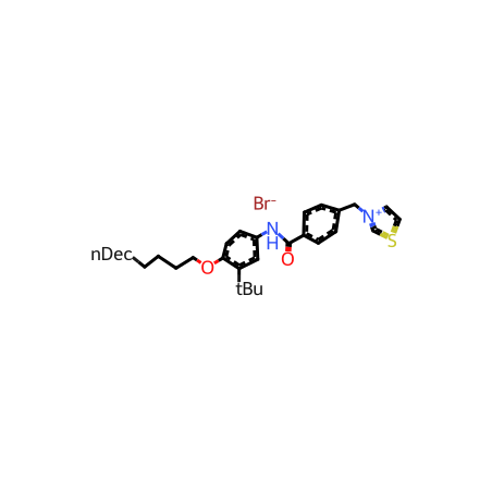 CCCCCCCCCCCCCCOc1ccc(NC(=O)c2ccc(C[n+]3ccsc3)cc2)cc1C(C)(C)C.[Br-]